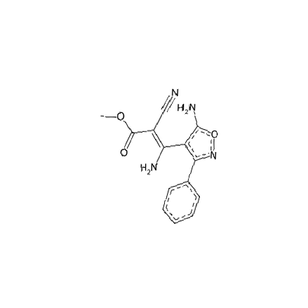 COC(=O)C(C#N)=C(N)c1c(-c2ccccc2)noc1N